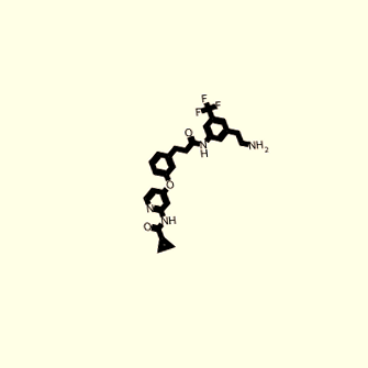 NCCc1cc(NC(=O)CCc2cccc(Oc3ccnc(NC(=O)C4CC4)c3)c2)cc(C(F)(F)F)c1